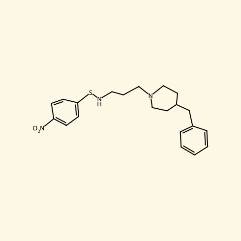 O=[N+]([O-])c1ccc(SNCCCN2CCC(Cc3ccccc3)CC2)cc1